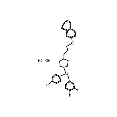 Cl.Cl.Fc1ccc(C(Nc2ccc(F)c(F)c2)C2CCN(CCCOc3ccc4ccccc4c3)CC2)cc1